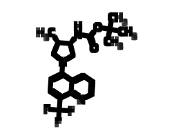 C[C@@H]1CN(c2ccc(C(F)(F)F)c3ncccc23)C[C@@H]1NC(=O)OC(C)(C)C